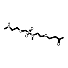 CNCCOCS(=O)(=O)N(C)CCOCCC(C)=O